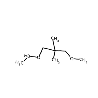 CBOCC(C)(C)COC